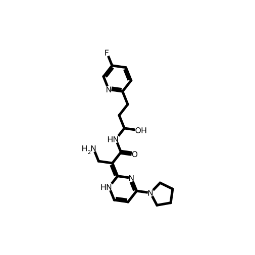 NC/C(C(=O)NC(O)CCc1ccc(F)cn1)=C1/N=C(N2CCCC2)C=CN1